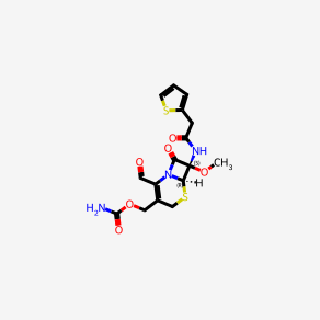 CO[C@@]1(NC(=O)Cc2cccs2)C(=O)N2C(C=O)=C(COC(N)=O)CS[C@@H]21